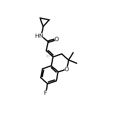 CC1(C)C/C(=C\C(=O)NC2CC2)c2ccc(F)cc2O1